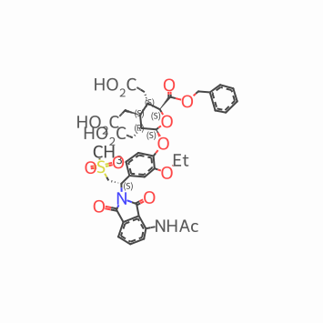 CCOc1cc([C@@H](CS(C)(=O)=O)N2C(=O)c3cccc(NC(C)=O)c3C2=O)ccc1O[C@@H]1O[C@H](C(=O)OCc2ccccc2)[C@@H](CC(=O)O)[C@H](CC(=O)O)[C@H]1CC(=O)O